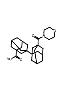 O=C(O)C12CC3CC(C1)CC(C14CC5CC(CC(C(=O)N6CCOCC6)(C5)C1)C4)(C3)C2